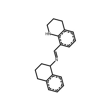 C(=NC1CCCc2ccccc21)c1cccc2c1NCCC2